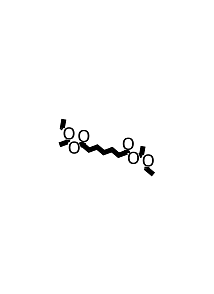 CCOC(C)OC(=O)CCCCCC(=O)OC(C)OCC